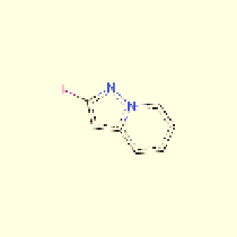 Ic1cc2ccccn2n1